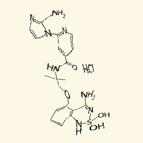 CC(C)(COc1cccc2c1C(N)=NS(O)(O)N2)NC(=O)c1ccnc(-n2ccnc2N)c1.Cl